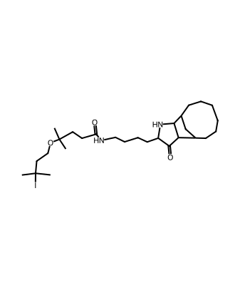 CC(C)(I)CCOC(C)(C)CCC(=O)NCCCCC1NC2C3CCCCCCC(C3)C2C1=O